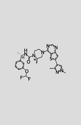 Cc1nn(C)cc1-c1cc2ncnc(N3CCN(C(=O)N[C@@H](C)c4cccc(OC(F)F)c4)[C@H](C)C3)c2s1